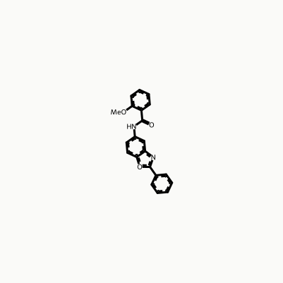 COc1ccccc1C(=O)Nc1ccc2oc(-c3ccccc3)nc2c1